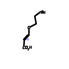 CCCCCCO/C=C/C(=O)O